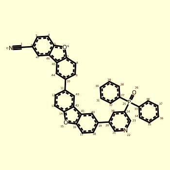 N#Cc1ccc2oc3ccc(-c4ccc5oc6ccc(-c7cncc(P(=O)(c8ccccc8)c8ccccc8)c7)cc6c5c4)cc3c2c1